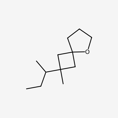 CCC(C)C1(C)CC2(CCCO2)C1